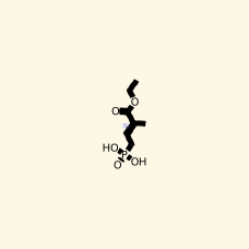 CCOC(=O)/C(C)=C/CP(=O)(O)O